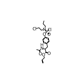 C=CCOC(=O)C(Cc1ccc(OP(=O)(Cl)N(CCC)CCCl)cc1)NC(C)=O